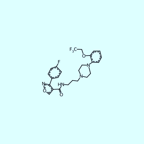 O=C(NCCCN1CCN(c2ccccc2OCC(F)(F)F)CC1)c1conc1-c1ccc(F)cc1